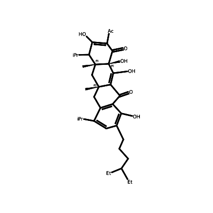 CCC(CC)CCCc1cc(C(C)C)c2c(c1O)C(=O)C1=C(O)[C@@]3(O)C(=O)C(C(C)=O)=C(O)C(C(C)C)[C@@]3(C)C[C@@]1(C)C2